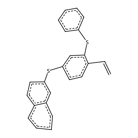 C=Cc1ccc(Sc2ccc3ccccc3c2)cc1Sc1ccccc1